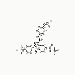 CC(C)(C)OC(=O)N1CCN(S(=O)(=O)c2ccc(C(F)(F)F)cc2)C(C(=O)NCc2ccc(OC(F)F)cc2)C1